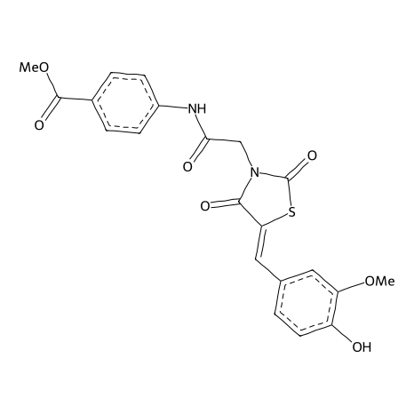 COC(=O)c1ccc(NC(=O)CN2C(=O)S/C(=C\c3ccc(O)c(OC)c3)C2=O)cc1